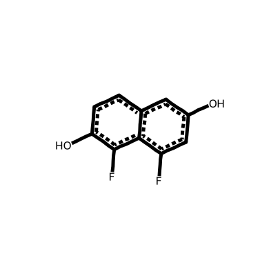 Oc1cc(F)c2c(F)c(O)ccc2c1